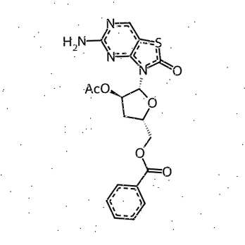 CC(=O)O[C@@H]1C[C@@H](COC(=O)c2ccccc2)O[C@H]1n1c(=O)sc2cnc(N)nc21